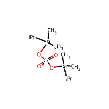 CC(C)[Si](C)(C)[O][Cr](=[O])(=[O])[O][Si](C)(C)C(C)C